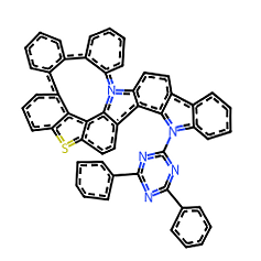 c1ccc(-c2nc(-c3ccccc3)nc(-n3c4ccccc4c4ccc5c(c6ccc7sc8cccc9c%10ccccc%10c%10ccccc%10n5c6c7c89)c43)n2)cc1